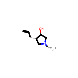 C=CC[C@H]1CN(C(=O)O)C[C@@H]1O